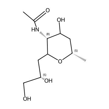 CC(=O)N[C@@H]1C(O)C[C@H](C)OC1C[C@H](O)CO